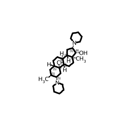 C[C@H]1C[C@@H]2CC[C@@H]3[C@H](CC[C@]4(C)[C@@H](O)[C@@H](N5CCCCC5)C[C@@H]34)[C@@]2(C)C[C@@H]1N1CCCCC1